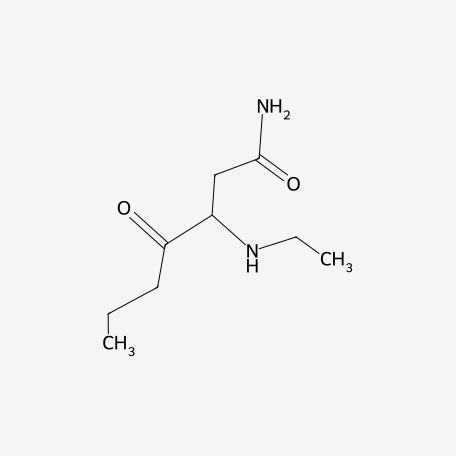 CCCC(=O)C(CC(N)=O)NCC